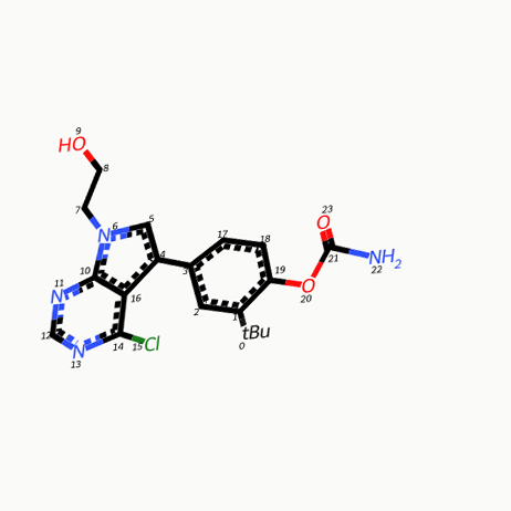 CC(C)(C)c1cc(-c2cn(CCO)c3ncnc(Cl)c23)ccc1OC(N)=O